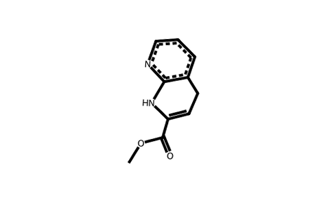 COC(=O)C1=CCc2cccnc2N1